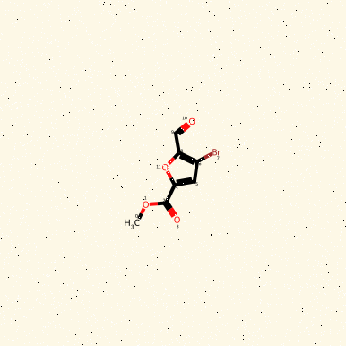 COC(=O)c1cc(Br)c(C=O)o1